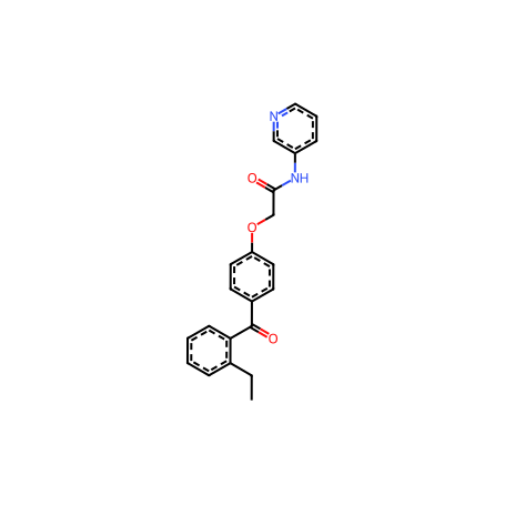 CCc1ccccc1C(=O)c1ccc(OCC(=O)Nc2cccnc2)cc1